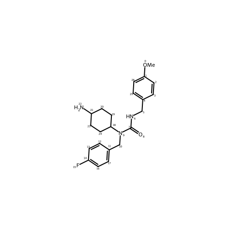 COc1ccc(CNC(=O)N(Cc2ccc(F)cc2)C2CCC(N)CC2)cc1